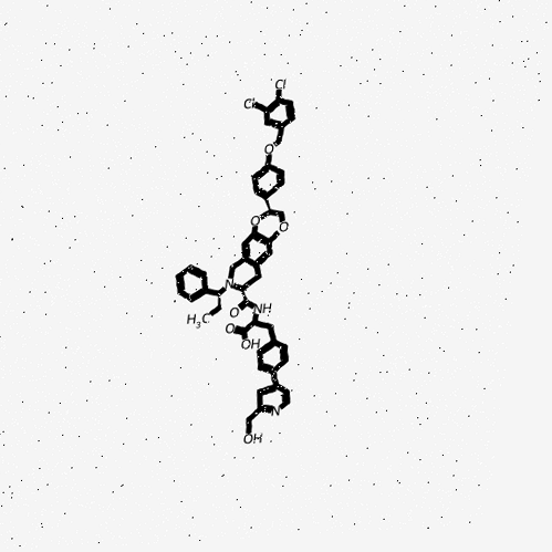 CC[C@@H](c1ccccc1)N1Cc2cc3c(cc2C[C@H]1C(=O)NC(Cc1ccc(-c2ccnc(CO)c2)cc1)C(=O)O)OC[C@H](c1ccc(OCc2ccc(Cl)c(Cl)c2)cc1)O3